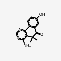 CC1(C)C(=O)c2cc(O)ccc2-c2ncnc(N)c21